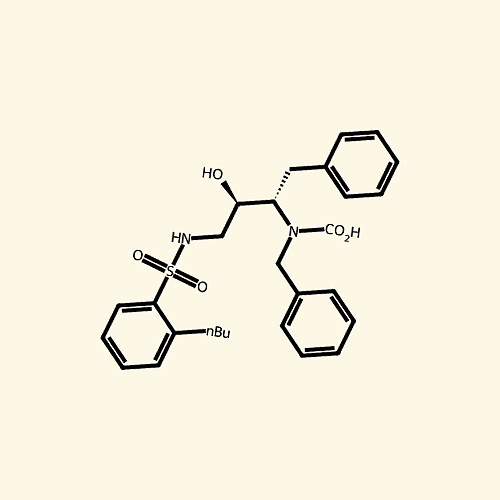 CCCCc1ccccc1S(=O)(=O)NC[C@@H](O)[C@H](Cc1ccccc1)N(Cc1ccccc1)C(=O)O